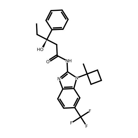 CC[C@@](O)(CC(=O)Nc1nc2ccc(C(F)(F)F)cc2n1C1(C)CCC1)c1ccccc1